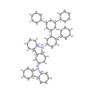 c1ccc(-c2cc(-c3ccccc3)cc(-c3cc(-n4c5ccccc5c5cc(-n6c7ccccc7c7ccccc76)ccc54)ccc3-c3ccccc3)c2)cc1